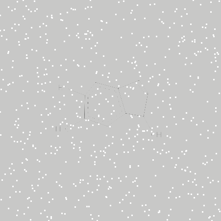 Cc1cc2c(cc1Br)C=CC2C